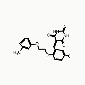 Cc1cccc(OCCOc2ccc(Cl)cc2C=C2C(=O)NC(=S)NC2=O)c1